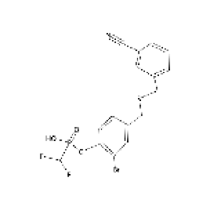 N#Cc1cccc(CSCc2ccc(OP(=O)(O)C(F)F)c(Br)c2)c1